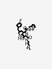 CN(C)CCCNC(=O)c1nc(C(=O)NCc2cccs2)c2cc(Cc3ccc(F)cc3)cnc2c1O